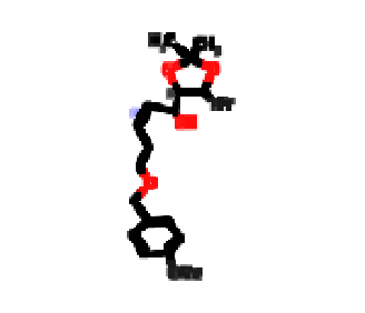 CCCC1OC(C)(C)O[C@@H]1C(O)/C=C\CCOCc1ccc(OC)cc1